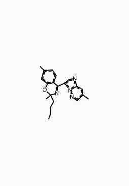 CCCCC1(C)N=C(c2cnc3cc(C)cnn23)c2ccc(C)cc2O1